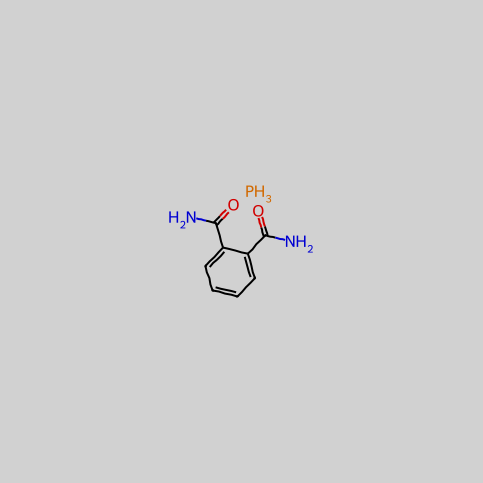 NC(=O)c1ccccc1C(N)=O.P